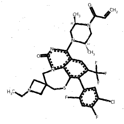 C=CC(=O)N1C[C@H](C)N(c2nc(=O)n3c4c(c(-c5cc(Cl)c(F)cc5F)c(C(F)(F)F)cc24)SCC2(CN(CC)C2)C3)C[C@H]1C